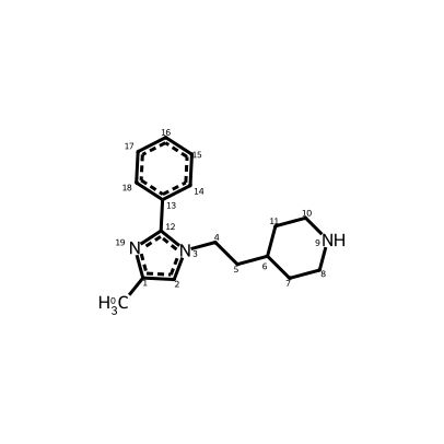 Cc1cn(CCC2CCNCC2)c(-c2ccccc2)n1